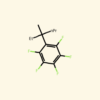 CCCC(C)(CC)c1c(F)c(F)c(F)c(F)c1F